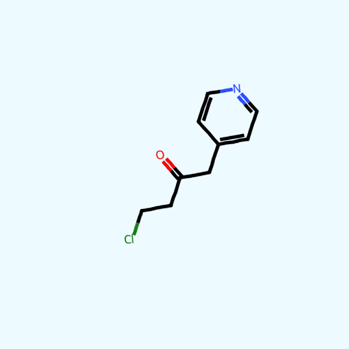 O=C(CCCl)Cc1ccncc1